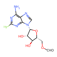 Nc1nc([18F])nc2c1ncn2[C@@H]1O[C@H](COC=O)[C@@H](O)[C@@H]1O